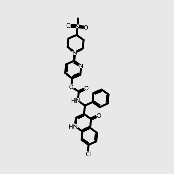 CS(=O)(=O)C1CCN(c2ccc(OC(=O)NC(c3ccccc3)c3c[nH]c4cc(Cl)ccc4c3=O)cn2)CC1